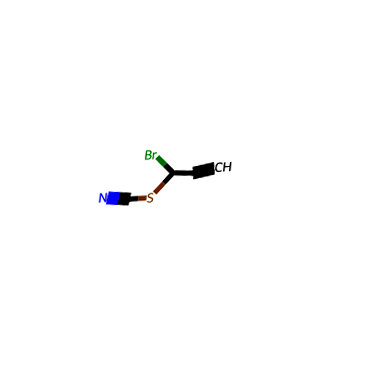 C#CC(Br)SC#N